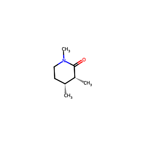 C[C@@H]1CCN(C)C(=O)[C@@H]1C